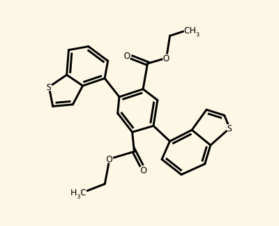 CCOC(=O)c1cc(-c2cccc3sccc23)c(C(=O)OCC)cc1-c1cccc2sccc12